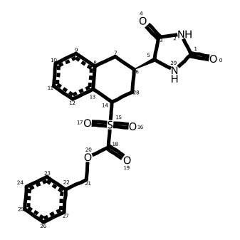 O=C1NC(=O)C([C@@H]2Cc3ccccc3C(S(=O)(=O)C(=O)OCc3ccccc3)C2)N1